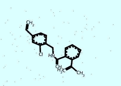 C=Cc1ccc(CNC(=C)c2ccccc2C(=C)C)c(Cl)c1